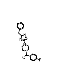 O=C(c1ccc(F)cc1)N1CCN(c2nc(Cc3ccccc3)ns2)CC1